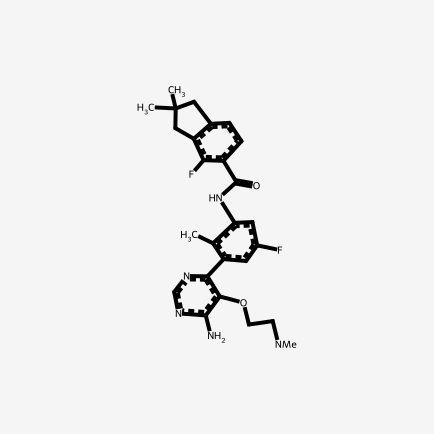 CNCCOc1c(N)ncnc1-c1cc(F)cc(NC(=O)c2ccc3c(c2F)CC(C)(C)C3)c1C